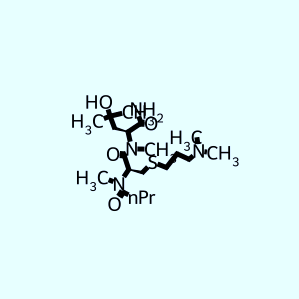 CCCC(=O)N(C)[C@H](CSCCCN(C)C)C(=O)N(C)[C@@H](CC(C)(C)O)C(N)=O